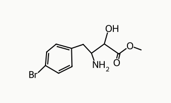 COC(=O)C(O)C(N)Cc1ccc(Br)cc1